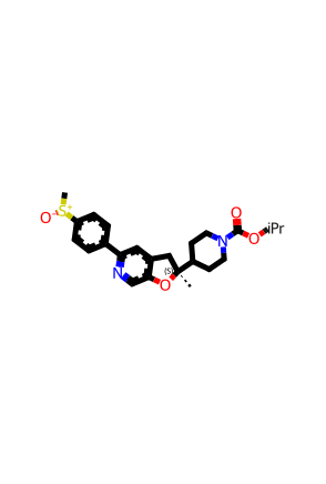 CC(C)OC(=O)N1CCC([C@]2(C)Cc3cc(-c4ccc([S+](C)[O-])cc4)ncc3O2)CC1